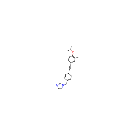 Cc1cc(C#Cc2ccc(Cn3ccnc3)cc2)ccc1OC(C)C